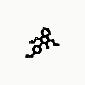 CCCCOc1c(-c2ccc(OC)cc2)c(=O)n(OCCCC)c2ncncc12